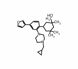 CC1(C)CC(c2ccc(-c3ccoc3)cc2N2CCN(CC3CC3)CC2)CC(C)(C)C1.Cl